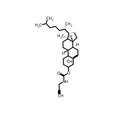 C#CCNC(=O)OC1CC[C@]2(C)C(=CC[C@@H]3[C@H]4CC[C@@H]([C@@H](C)CCCC(C)C)[C@]4(C)CC[C@H]32)C1